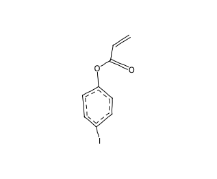 C=CC(=O)Oc1ccc(I)cc1